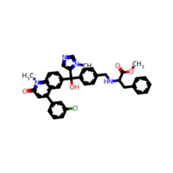 COC(=O)C(Cc1ccccc1)NCc1ccc(C(O)(c2ccc3c(c2)c(-c2cccc(Cl)c2)cc(=O)n3C)c2cncn2C)cc1